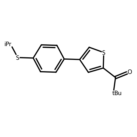 CC(C)Sc1ccc(-c2csc(C(=O)C(C)(C)C)c2)cc1